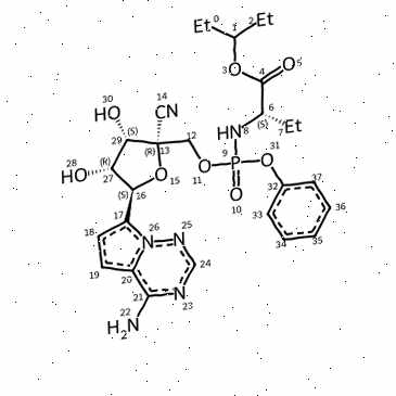 CCC(CC)OC(=O)[C@H](CC)NP(=O)(OC[C@@]1(C#N)O[C@@H](c2ccc3c(N)ncnn23)[C@H](O)[C@@H]1O)Oc1ccccc1